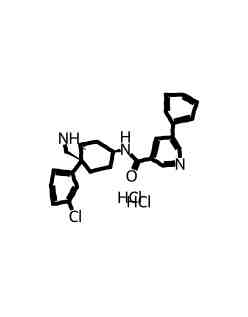 Cl.Cl.NC[C@]1(c2cccc(Cl)c2)CC[C@H](NC(=O)c2cncc(-c3ccccc3)c2)CC1